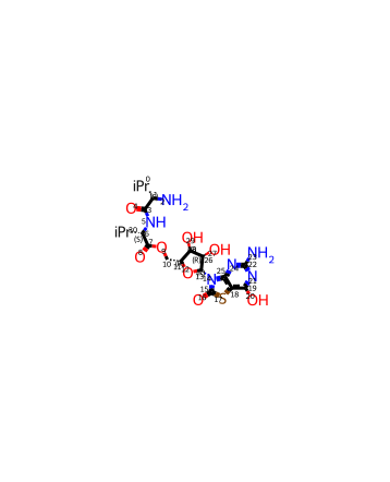 CC(C)[C@H](N)C(=O)N[C@H](C(=O)OC[C@H]1O[C@@H](n2c(=O)sc3c(O)nc(N)nc32)[C@H](O)[C@@H]1O)C(C)C